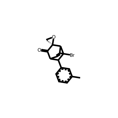 Cc1cccc(C2CC3C(Br)=CC2C(=O)[C@]32CO2)c1